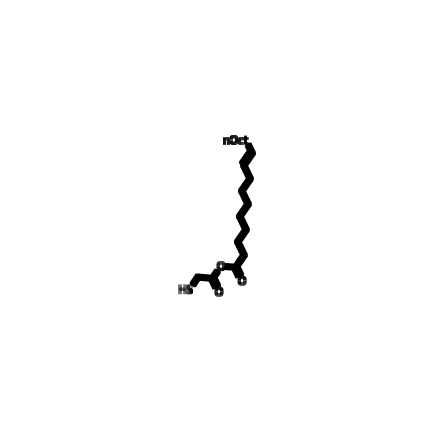 CCCCCCCCC=CCCCCCCCC(=O)OC(=O)CS